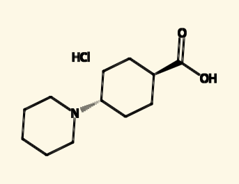 Cl.O=C(O)[C@H]1CC[C@H](N2CCCCC2)CC1